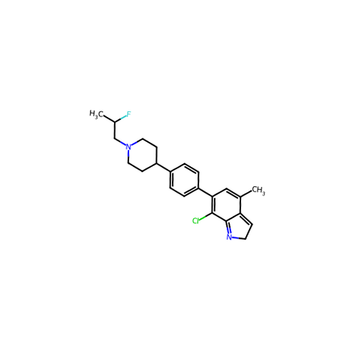 Cc1cc(-c2ccc(C3CCN(CC(C)F)CC3)cc2)c(Cl)c2c1=CCN=2